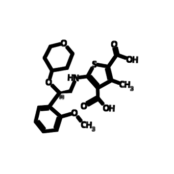 COc1ccccc1[C@H](CNc1sc(C(=O)O)c(C)c1C(=O)O)OC1CCOCC1